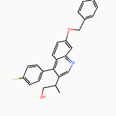 CC(CO)c1cnc2cc(OCc3ccccc3)ccc2c1-c1ccc(F)cc1